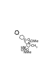 CNS(=O)(=O)N[C@H]1C[C@@H](C)N(C(=O)OC)C1CO[C@H]1CC[C@@H](c2ccccc2)CC1